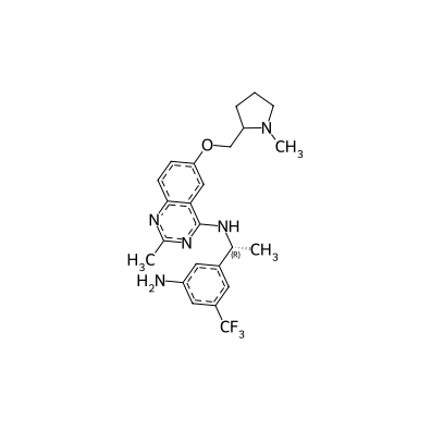 Cc1nc(N[C@H](C)c2cc(N)cc(C(F)(F)F)c2)c2cc(OCC3CCCN3C)ccc2n1